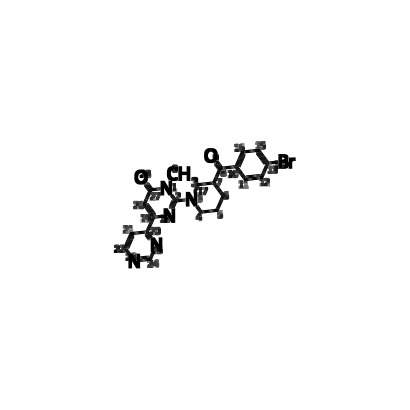 Cn1c(N2CCCC(C(=O)c3ccc(Br)cc3)C2)nc(-c2ccncn2)cc1=O